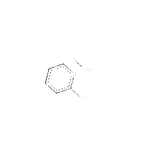 O=CO.Sc1ccccn1